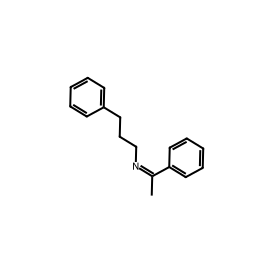 CC(=NCCCc1ccccc1)c1ccccc1